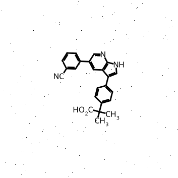 CC(C)(C(=O)O)c1ccc(-c2c[nH]c3ncc(-c4cccc(C#N)c4)cc23)cc1